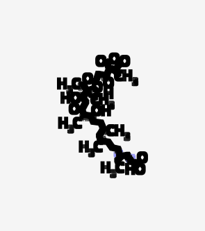 CCC(/C=C/C(=O)O)=C\CC[C@H](C)C[C@@H](C)CC[C@H](O)[C@H](C)C(=O)C[C@@H](O)[C@H](OC)[C@@H](C)OC(=O)C[C@@H](O)C1=C(C)C(=O)OC1=O